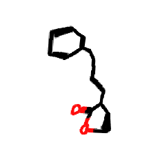 O=C1OC=CC1CCCc1ccccc1